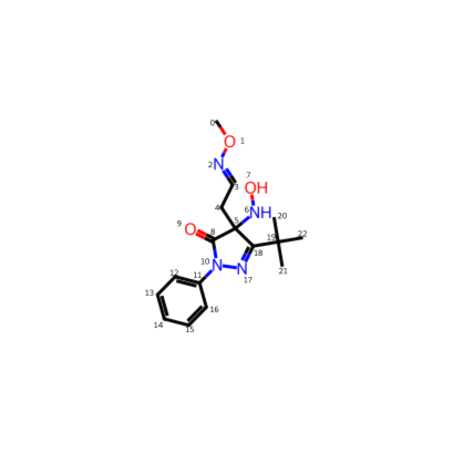 CON=CCC1(NO)C(=O)N(c2ccccc2)N=C1C(C)(C)C